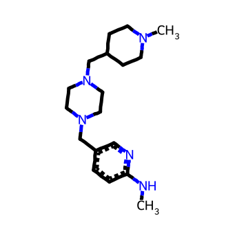 CNc1ccc(CN2CCN(CC3CCN(C)CC3)CC2)cn1